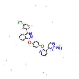 CNc1nccc(-c2cccnc2Oc2ccc(Oc3nnc(-c4cc(Cl)cs4)c4ccccc34)cc2)n1